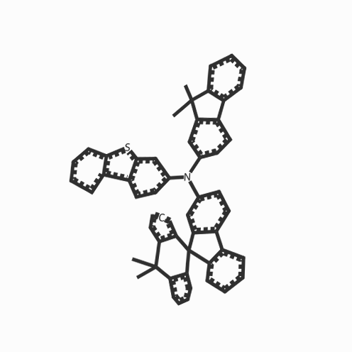 CC1(C)c2ccccc2-c2ccc(N(c3ccc4c(c3)C3(c5ccccc5-4)c4ccccc4C(C)(C)c4ccccc43)c3ccc4c(c3)sc3ccccc34)cc21